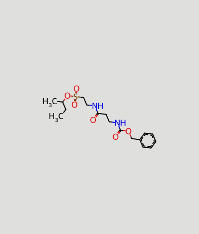 CCC(C)OS(=O)(=O)CCNC(=O)CCNC(=O)OCc1ccccc1